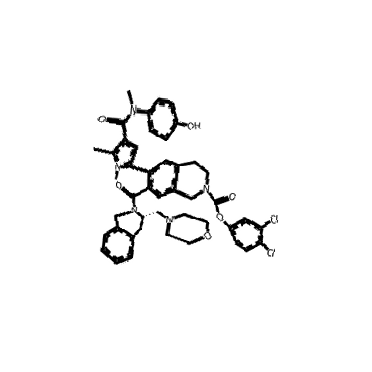 Cc1c(C(=O)N(C)c2ccc(O)cc2)cc(-c2cc3c(cc2C(=O)N2Cc4ccccc4C[C@H]2CN2CCOCC2)CN(C(=O)Oc2ccc(Cl)c(Cl)c2)CC3)n1C